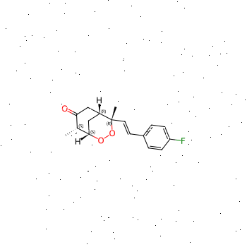 C[C@@H]1C(=O)C[C@H]2C[C@@H]1OO[C@@]2(C)C=Cc1ccc(F)cc1